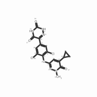 Cn1nc(Oc2c(Cl)cc(-c3n[nH]c(=O)[nH]c3=O)cc2Cl)cc(C2CC2)c1=O